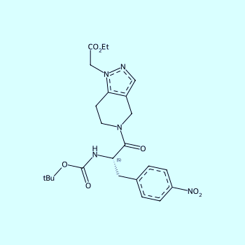 CCOC(=O)Cn1ncc2c1CCN(C(=O)[C@H](Cc1ccc([N+](=O)[O-])cc1)NC(=O)OC(C)(C)C)C2